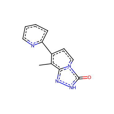 Cc1c(-c2ccccn2)ccn2c(=O)[nH]nc12